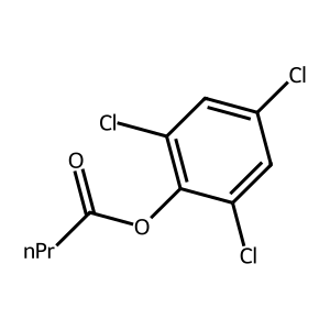 [CH2]CCC(=O)Oc1c(Cl)cc(Cl)cc1Cl